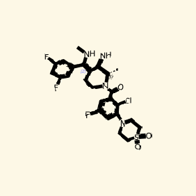 CN/C(=C1/CCN(C(=O)c2cc(F)cc(N3CCS(=O)(=O)CC3)c2Cl)[C@@H](C)C1=N)c1cc(F)cc(F)c1